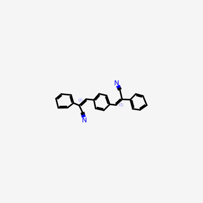 N#C/C(=C\c1ccc(/C=C(\C#N)c2ccccc2)cc1)c1ccccc1